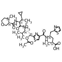 CC(=O)O[C@H](C[C@H](C(C)C)N(C)C(=O)[C@@H](NC(=O)[C@H]1COCCN1C)[C@@H](C)C1CC1)c1nc(C(=O)N[C@@H](Cc2nccs2)C[C@H](C)C(=O)O)cs1